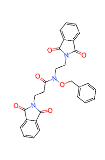 O=C(CCN1C(=O)c2ccccc2C1=O)N(CCN1C(=O)c2ccccc2C1=O)OCc1ccccc1